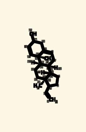 C=CC1CC[C@H]2[C@@H]3CC=C4CC(O)C=C[C@]4(C)[C@@H]3CC[C@]12C